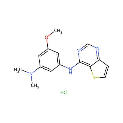 COc1cc(Nc2ncnc3ccsc23)cc(N(C)C)c1.Cl